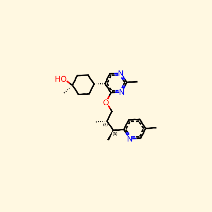 Cc1ccc([C@@H](C)[C@H](C)COc2nc(C)ncc2[C@H]2CC[C@](C)(O)CC2)nc1